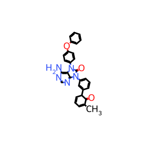 CC1=CC=CC(c2cccc(-n3c(=O)n(-c4ccc(Oc5ccccc5)cc4)c4c(N)ncnc43)c2)C1=O